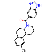 N#Cc1ccc2c(c1)C1CCCN(C(=O)c3ccc4[nH]cnc4c3)C1CC2